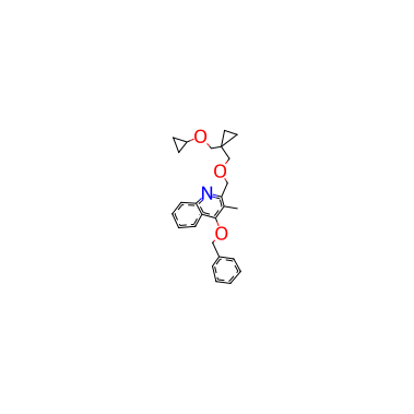 Cc1c(COCC2(COC3CC3)CC2)nc2ccccc2c1OCc1ccccc1